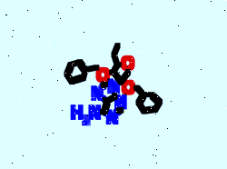 CCC1OCC(OCc2ccccc2)(n2cnc3c(N)ncnc32)C1OCc1ccccc1